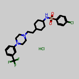 Cl.O=S(=O)(NC1CCC(CCN2CCN(c3cccc(C(F)(F)F)c3)CC2)CC1)c1ccc(Cl)cc1